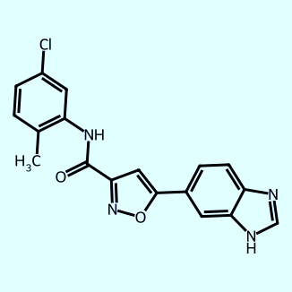 Cc1ccc(Cl)cc1NC(=O)c1cc(-c2ccc3nc[nH]c3c2)on1